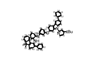 CC(C)(C)c1ccnc(-n2c3ccc(-c4ccccc4)cc3c3ccc(Oc4cccc(Nc5ccccc5Nc5c(-c6ccccc6)ccc6c5-c5ccccc5C6(C)C)c4)cc32)c1